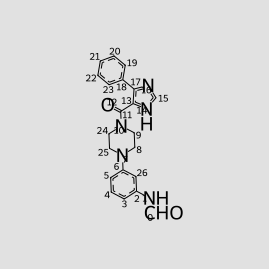 O=CNc1cccc(N2CCN(C(=O)c3[nH]cnc3-c3ccccc3)CC2)c1